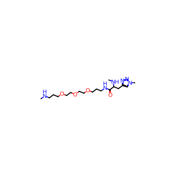 CNCCCOCCOCCOCCCNC(=O)C(Cc1cn(C)nn1)NC